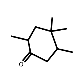 CC1CC(C)(C)C(C)CC1=O